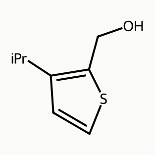 CC(C)c1ccsc1CO